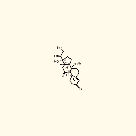 C[C@]12CCC(=O)C=C1CC[C@@H]1[C@@H]2C(=O)C[C@@]2(C)[C@H]1CC[C@]2(O)C(=O)CO.F